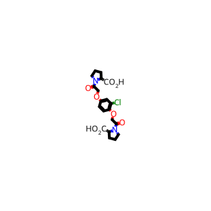 O=C(O)C1CCCN1C(=O)COc1ccc(OCC(=O)N2CCCC2C(=O)O)c(Cl)c1